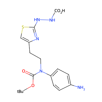 CC(C)(C)OC(=O)N(CCc1csc(NNC(=O)O)n1)c1ccc(N)cc1